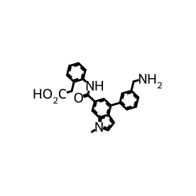 Cn1ccc2c(-c3cccc(CN)c3)cc(C(=O)Nc3ccccc3CC(=O)O)cc21